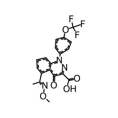 CON=C(C)c1cccc2c1c(=O)c(C(=O)O)nn2-c1ccc(OC(F)(F)F)cc1